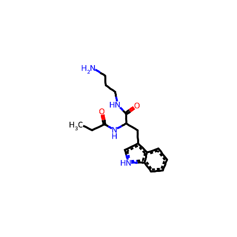 CCC(=O)NC(Cc1c[nH]c2ccccc12)C(=O)NCCCN